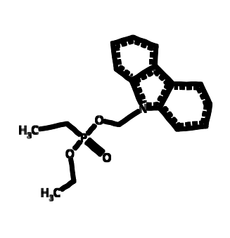 CCOP(=O)(CC)OCn1c2ccccc2c2ccccc21